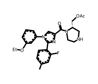 CCOc1cccc(-n2cc(C(=O)N3CCNC[C@H]3COC(C)=O)nc2-c2ccc(C)cc2F)c1